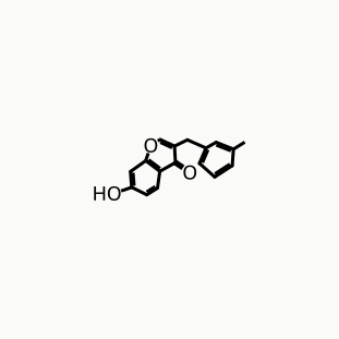 Cc1cccc(Cc2coc3cc(O)ccc3c2=O)c1